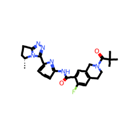 C[C@@H]1CCc2nnc(-c3cccc(NC(=O)c4cc5c(cc4F)CCN(C(=O)C(C)(C)C)C5)n3)n21